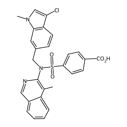 Cc1c(N(Cc2ccc3c(Cl)cn(C)c3c2)S(=O)(=O)c2ccc(C(=O)O)cc2)ncc2ccccc12